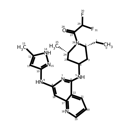 CC[C@@H]1CC(Nc2nc(Nc3cc(C)[nH]n3)cc3ncccc23)C[C@H](C)N1C(=O)C(F)F